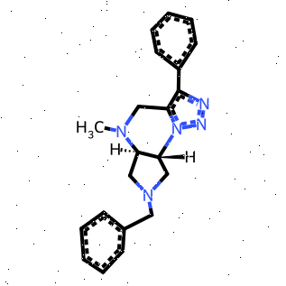 CN1Cc2c(-c3ccccc3)nnn2[C@@H]2CN(Cc3ccccc3)C[C@H]21